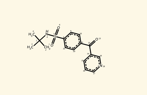 CC(C)(C)NS(=O)(=O)c1ccc(C(=O)c2cccnc2)cc1